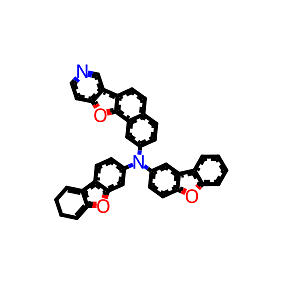 C1=c2oc3cc(N(c4ccc5oc6ccccc6c5c4)c4ccc5ccc6c7cnccc7oc6c5c4)ccc3c2=CCC1